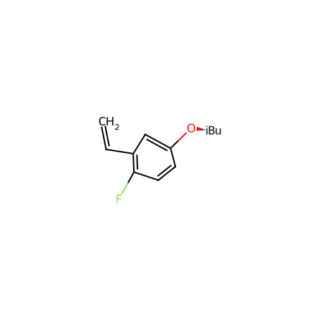 C=Cc1cc(O[C@H](C)CC)ccc1F